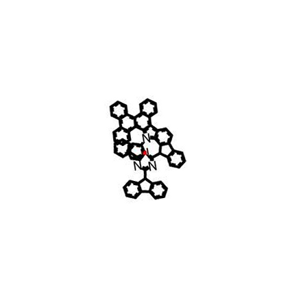 c1ccc(-c2nc(C3c4ccccc4-c4ccccc43)nc(C3c4ccccc4-c4ccc5c6c7ccccc7c7c8ccccc8c8ccccc8c7c6n(-c6ccccc6)c5c43)n2)cc1